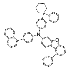 c1ccc(-c2cccc3oc4cc(N(c5ccc(-c6cccc7ccccc67)cc5)c5ccc(C6(c7ccccc7)CCCCC6)cc5)ccc4c23)cc1